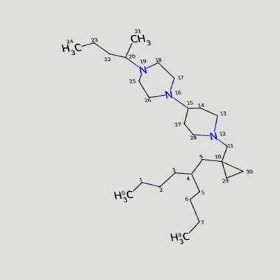 CCCCC(CCCC)CC1(CN2CCC(N3CCN(C(C)CCC)CC3)CC2)CC1